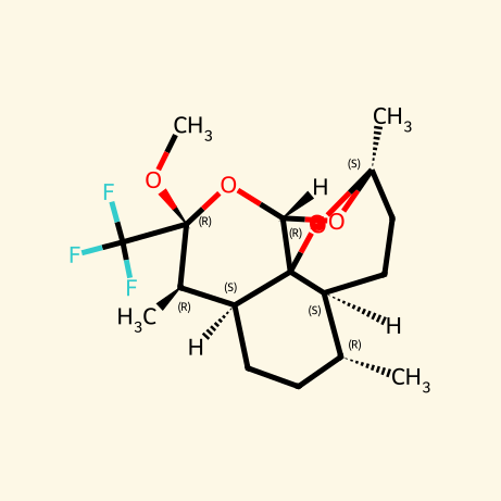 CO[C@@]1(C(F)(F)F)O[C@@H]2O[C@]3(C)CC[C@H]4[C@H](C)CC[C@@H]([C@H]1C)C24OO3